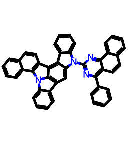 c1ccc(-c2nc(-n3c4ccccc4c4c5c6ccc7ccccc7c6n6c7ccccc7c(cc43)c56)nc3c2ccc2ccccc23)cc1